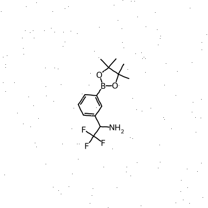 CC1(C)OB(c2cccc(C(N)C(F)(F)F)c2)OC1(C)C